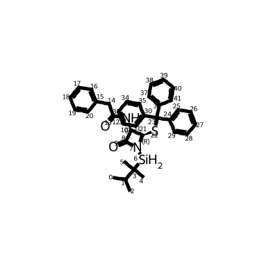 CC(C)C(C)(C)[SiH2]N1C(=O)[C@@H](NC(=O)Cc2ccccc2)[C@H]1SC(c1ccccc1)(c1ccccc1)c1ccccc1